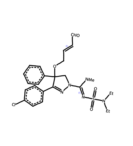 CCN(CC)S(=O)(=O)/N=C(\NC)N1CC(OC/C=C/C=O)(c2ccccc2)C(c2ccc(Cl)cc2)=N1